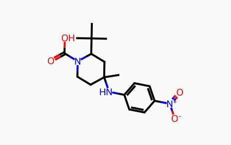 CC1(Nc2ccc([N+](=O)[O-])cc2)CCN(C(=O)O)C(C(C)(C)C)C1